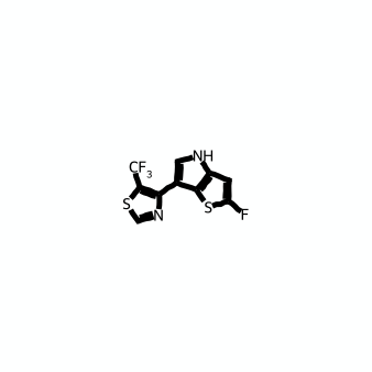 Fc1cc2[nH]cc(-c3ncsc3C(F)(F)F)c2s1